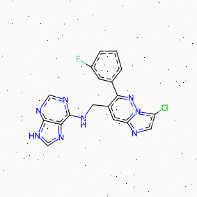 Fc1cccc(-c2nn3c(Cl)cnc3cc2CNc2ncnc3[nH]cnc23)c1